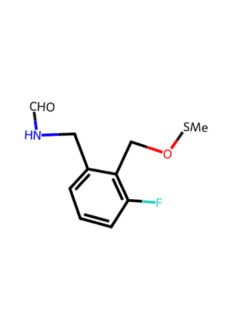 CSOCc1c(F)cccc1CNC=O